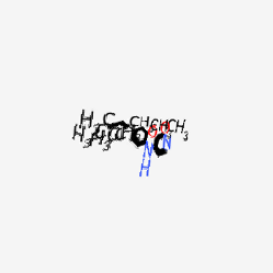 COc1nccc(N[C@H]2CC[C@@H](C(C)(C)CC(C)(C)C)CC2)c1OC